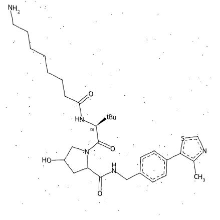 Cc1ncsc1-c1ccc(CNC(=O)C2CC(O)CN2C(=O)[C@@H](NC(=O)CCCCCCCN)C(C)(C)C)cc1